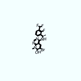 C[C@@H](Nc1ncnc2c1C=C(Br)C(O)N2C)c1cccc(C(F)F)c1F